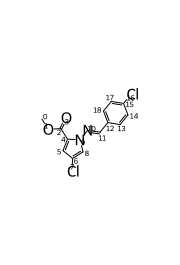 COC(=O)c1cc(Cl)cn1N=Cc1ccc(Cl)cc1